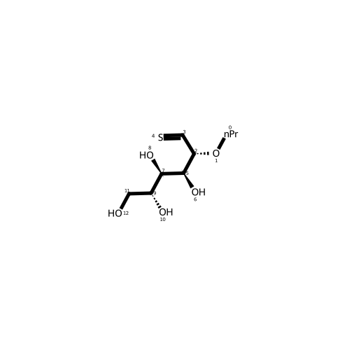 CCCO[C@@H](C=S)[C@@H](O)[C@H](O)[C@H](O)CO